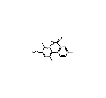 Cc1ccc2c(c1)c(=O)oc1c(C)c(O)cc(C)c12